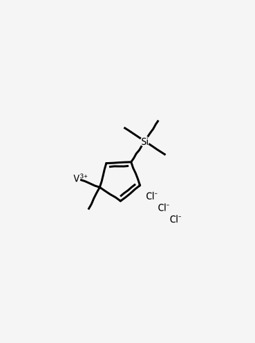 C[C]1([V+3])C=CC([Si](C)(C)C)=C1.[Cl-].[Cl-].[Cl-]